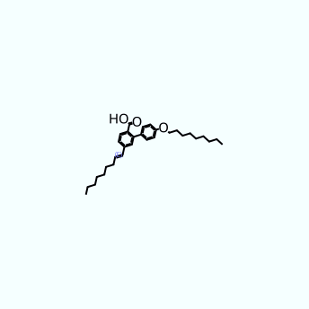 CCCCCCC/C=C/c1ccc(C(=O)O)c(-c2ccc(OCCCCCCCCC)cc2)c1